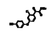 COC(=O)C(=O)c1ccc(Oc2ccc(C#N)cc2)cc1Cl